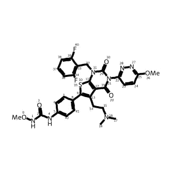 CONC(=O)Nc1ccc(-c2sc3c(c2CCN(C)C)c(=O)n(-c2ccc(OC)nn2)c(=O)n3Cc2c(F)cccc2F)cc1